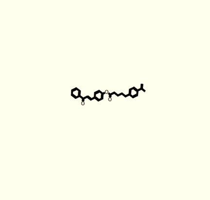 C=C(C)c1ccc(CCCCC(=O)Oc2ccc(C=CC(=O)c3ccccc3)cc2)cc1